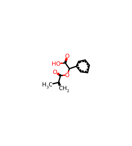 C=C(C)C(=O)OC(C(=O)O)c1ccccc1